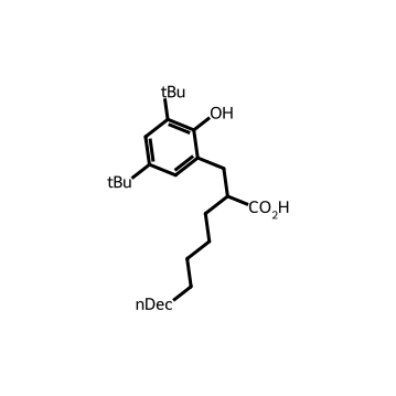 CCCCCCCCCCCCCCC(Cc1cc(C(C)(C)C)cc(C(C)(C)C)c1O)C(=O)O